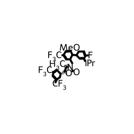 COC1C=C(F)C(C(C)C)=CC1C1C=CC(C(F)(F)F)=CC1CN1C(=O)O[C@H](C2C=C(C(F)(F)F)C=C(C(F)(F)F)C2)[C@@H]1C